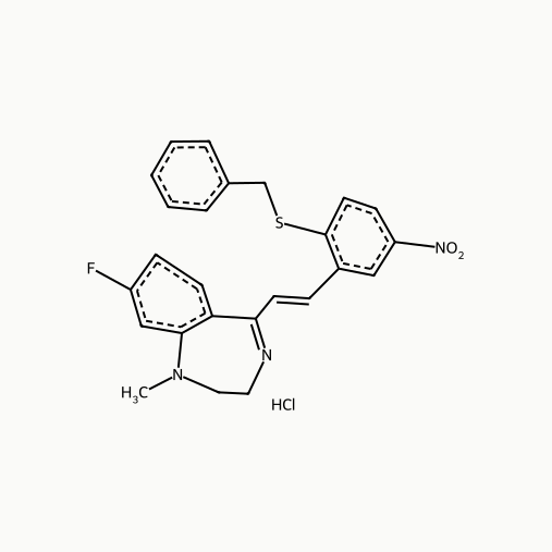 CN1CCN=C(C=Cc2cc([N+](=O)[O-])ccc2SCc2ccccc2)c2ccc(F)cc21.Cl